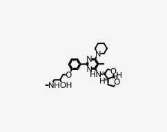 CNCC(O)COc1cccc(-c2nc(N[C@H]3CO[C@H]4OCC[C@H]43)c(C)c(N3CCCCC3)n2)c1